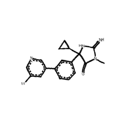 CCc1cncc(-c2cccc(C3(C4CC4)NC(=N)N(C)C3=O)c2)c1